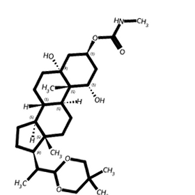 CNC(=O)O[C@H]1C[C@H](O)[C@]2(C)[C@H]3CC[C@]4(C)[C@@H](C(C)C5OCC(C)(C)CO5)CC[C@H]4[C@@H]3CC[C@@]2(O)C1